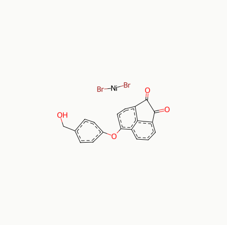 O=C1C(=O)c2ccc(Oc3ccc(CO)cc3)c3cccc1c23.[Br][Ni][Br]